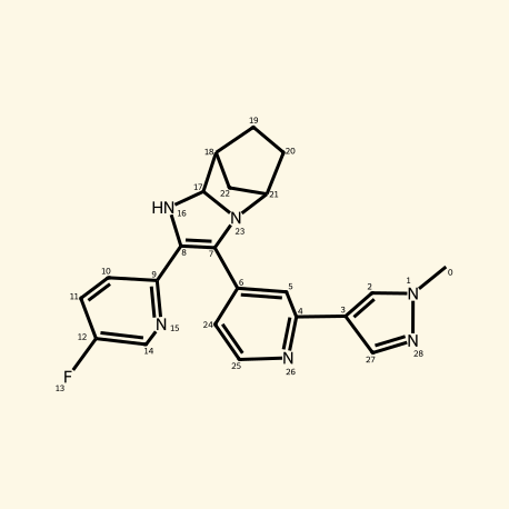 Cn1cc(-c2cc(C3=C(c4ccc(F)cn4)NC4C5CCC(C5)N34)ccn2)cn1